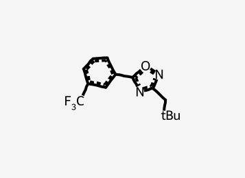 CC(C)(C)Cc1noc(-c2cccc(C(F)(F)F)c2)n1